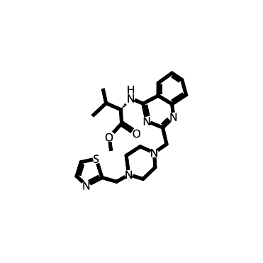 COC(=O)[C@@H](Nc1nc(CN2CCN(Cc3nccs3)CC2)nc2ccccc12)C(C)C